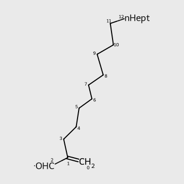 C=C([C]=O)CCCCCCCCCCCCCCCC